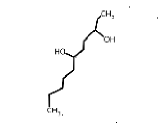 CCCCC[C](O)CCC(O)CC